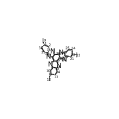 IC1=CC2N=c3c(c4nc5cc(I)ccc5nc4c4nc5cc(I)ccc5nc34)=NC2C=C1